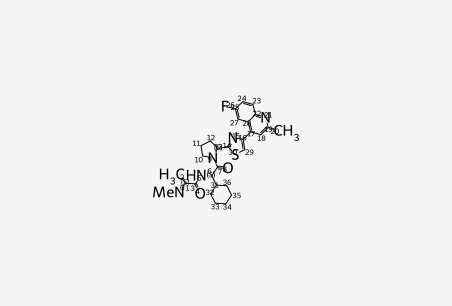 CN[C@@H](C)C(=O)N[C@H](C(=O)N1CCC[C@H]1c1nc(-c2cc(C)nc3ccc(F)cc23)cs1)C1CCCCC1